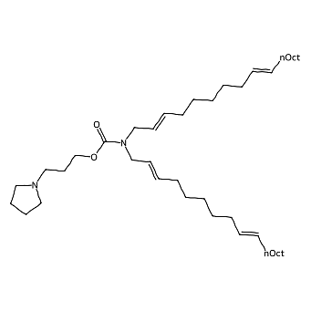 CCCCCCCCC=CCCCCCC=CCN(CC=CCCCCCC=CCCCCCCCC)C(=O)OCCCN1CCCC1